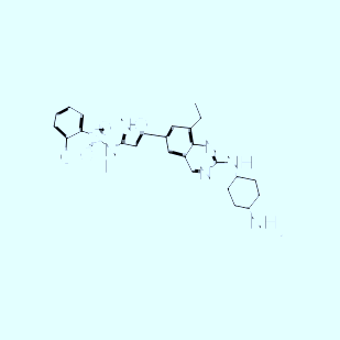 CCc1cc(-c2cc(NS(=O)(=O)c3ccccc3Cl)no2)cc2cnc(N[C@H]3CC[C@H](N)CC3)nc12